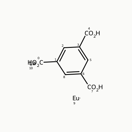 O=C(O)c1cc(C(=O)O)cc(C(=O)O)c1.[Eu].[La]